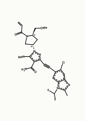 C=CC(=O)N1C[C@@H](n2nc(C#Cc3cc4c(cc3Cl)nc(C)n4C(F)F)c(C(N)=O)c2NC)C[C@@H]1COC